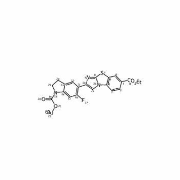 CCOC(=O)c1ccc2c(c1)sc1nc(-c3cc4c(cc3F)N(C(=O)OC(C)(C)C)CC4)cn12